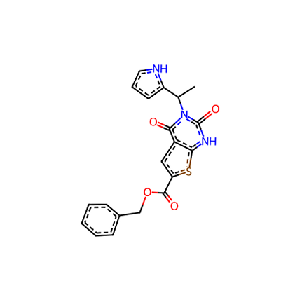 CC(c1ccc[nH]1)n1c(=O)[nH]c2sc(C(=O)OCc3ccccc3)cc2c1=O